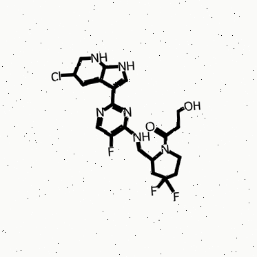 O=C(CCO)N1CCC(F)(F)CC1CNc1nc(C2=CNC3NCC(Cl)C=C23)ncc1F